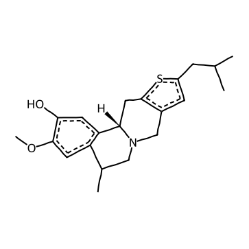 COc1cc2c(cc1O)[C@@H]1Cc3sc(CC(C)C)cc3CN1CC2C